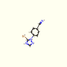 N#Cc1ccc(-n2ncnc2Br)cc1